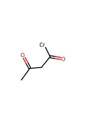 CC(=O)C[C](=O)[Cr]